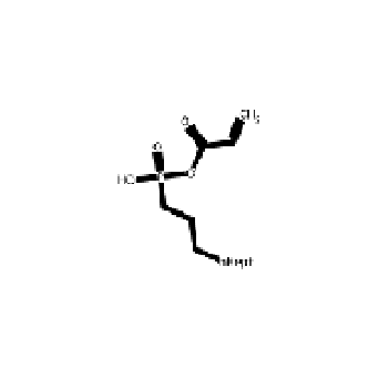 C=CC(=O)OP(=O)(O)CCCCCCCCCC